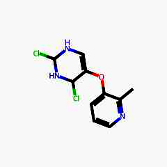 Cc1ncccc1OC1=CNC(Cl)NC1Cl